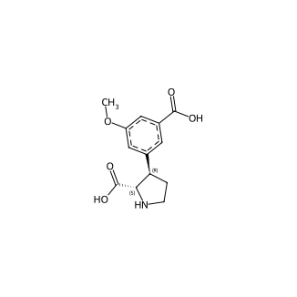 COc1cc(C(=O)O)cc([C@H]2CCN[C@@H]2C(=O)O)c1